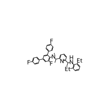 CCc1cccc(CC)c1NC(C)c1cccc(C(C)N(C)c2c(F)cc(-c3ccc(F)cc3)cc2-c2ccc(F)cc2)n1